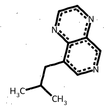 CC(C)Cc1cncc2nccnc12